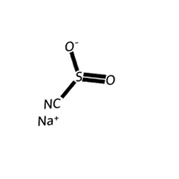 N#CS(=O)[O-].[Na+]